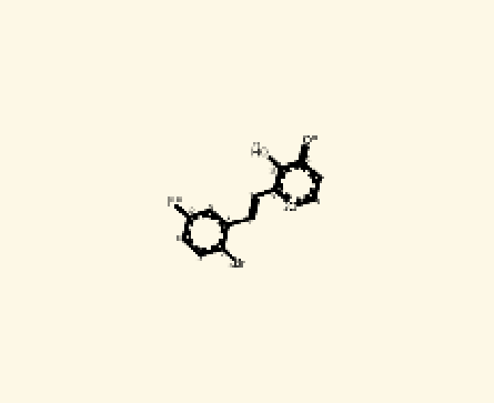 O=c1ccoc(C=Cc2cc(F)ccc2Br)c1O